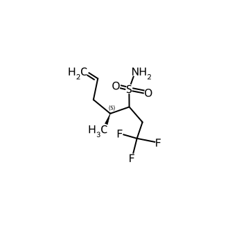 C=CC[C@H](C)C(CC(F)(F)F)S(N)(=O)=O